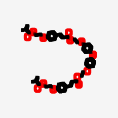 C=C(C)C(=O)OCCOc1ccc(/C=C/C(=O)OCCOc2ccc(Oc3ccc(OCCOC(=O)/C=C/c4ccc(OCCOC(=O)C(=C)C)cc4)cc3)cc2)cc1